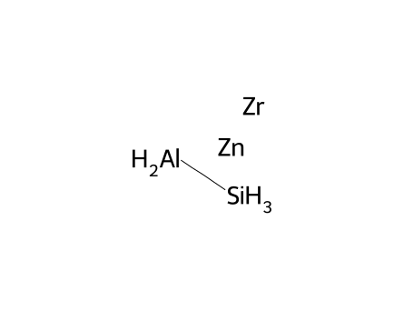 [AlH2][SiH3].[Zn].[Zr]